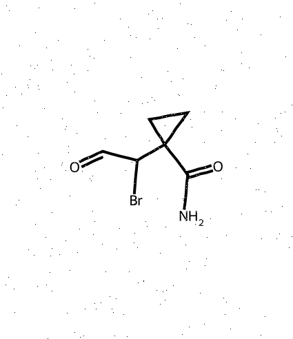 NC(=O)C1(C(Br)C=O)CC1